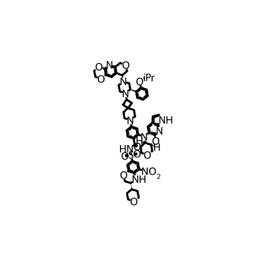 CC(C)Oc1ccccc1[C@@H]1CN([C@@H]2COCc3nc4c(cc32)OCCO4)CCN1C1CC2(CCN(c3ccc(C(=O)NS(=O)(=O)c4cc5c(c([N+](=O)[O-])c4)N[C@H](C4CCOCC4)CO5)c(N4c5cc6cc[nH]c6nc5O[C@H]5COCC[C@@H]54)c3)CC2)C1